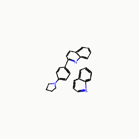 c1ccc2nc(-c3ccc(N4CCCC4)cc3)ccc2c1.c1ccc2ncccc2c1